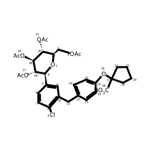 CC(=O)OC[C@H]1O[C@@H](c2ccc(Cl)c(Cc3ccc(OC4(C(=O)O)CCCC4)cc3)c2)[C@H](OC(C)=O)[C@@H](OC(C)=O)[C@@H]1OC(C)=O